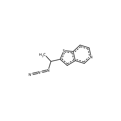 CC(N=[N+]=[N-])c1cc2cnccc2s1